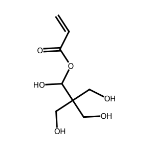 C=CC(=O)OC(O)C(CO)(CO)CO